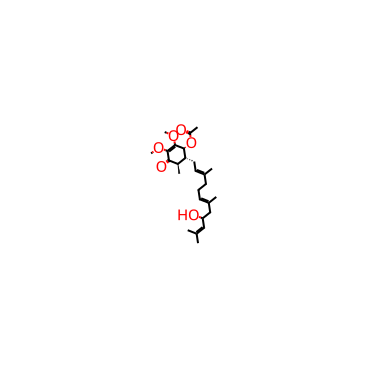 COC1=C(OC)[C@H](OC(C)=O)[C@H](C/C=C(\C)CC/C=C(\C)CC(O)C=C(C)C)[C@@H](C)C1=O